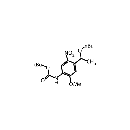 CCCCOC(C)c1cc(OC)c(NC(=O)OC(C)(C)C)cc1[N+](=O)[O-]